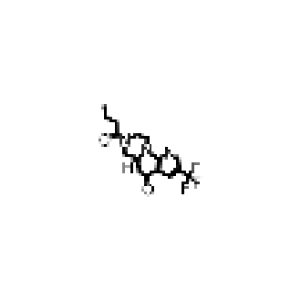 CCCC(=O)N1CCN2c3ncc(C(F)(F)F)cc3C(=O)C[C@H]2C1